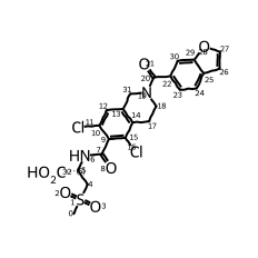 CS(=O)(=O)C[C@@H](NC(=O)c1c(Cl)cc2c(c1Cl)CCN(C(=O)c1ccc3ccoc3c1)C2)C(=O)O